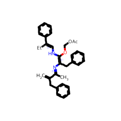 C=C(Cc1ccccc1)/C(C)=N/C(Cc1ccccc1)=C(\N/C=C(\CC)c1ccccc1)OCOC(C)=O